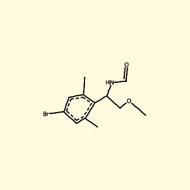 COCC(NC=O)c1c(C)cc(Br)cc1C